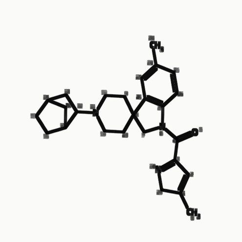 CC1=CC(C(=O)N2CC3(CCN(C4CC5CCC4C5)CC3)c3cc(C)ccc32)=NC1